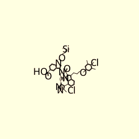 Cc1cc(OCCCc2c3n(c4c(-c5c(C)nn(C)c5C)c(Cl)ccc24)[C@H](C)CN(c2cn(COCC[Si](C)(C)C)c4ccc(C(=O)O)cc24)C3=O)cc(C)c1Cl